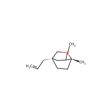 C=CC[C@]12CC[C@@](C)(OC1)C(C)C2